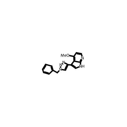 COc1ccnc2[nH]cc(-c3cn(Cc4ccccc4)nn3)c12